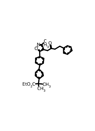 CCOC(=O)C(C)(C)c1ccc(-c2ccc(-c3onc(C)c3CC(=O)CCc3ccccc3)cc2)cc1